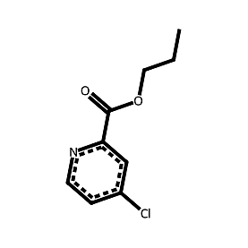 CCCOC(=O)c1cc(Cl)ccn1